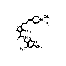 Cc1cc(C)c(CNC(=O)c2csc(CCC=C3CCN(N(C)C)CC3)c2C)c(=O)[nH]1